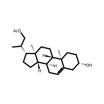 CC(=O)OCC(C)[C@H]1CC[C@H]2[C@@H]3CC=C4C[C@@H](O)CC[C@]4(C)[C@H]3CC[C@]12C